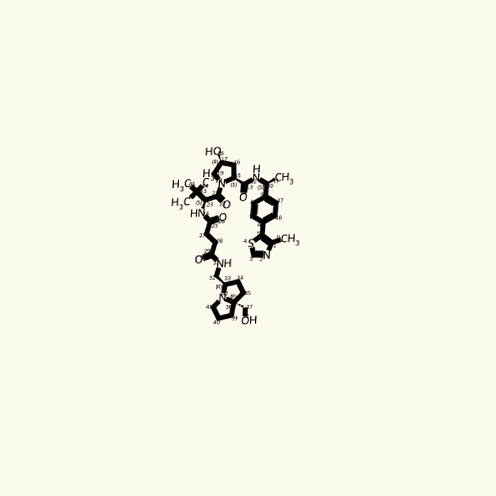 Cc1ncsc1-c1ccc([C@H](C)NC(=O)[C@@H]2C[C@@H](O)CN2C(=O)[C@@H](NC(=O)CCC(=O)NC[C@H]2CC[C@@]3(CO)CCCN23)C(C)(C)C)cc1